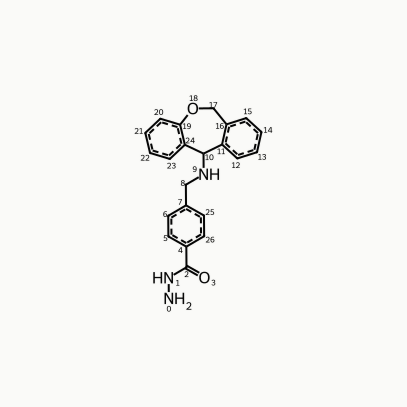 NNC(=O)c1ccc(CNC2c3ccccc3COc3ccccc32)cc1